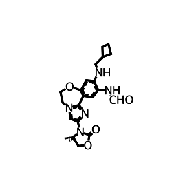 C[C@@H]1COC(=O)N1c1cn2c(n1)-c1cc(NC=O)c(NCC3CCC3)cc1OCC2